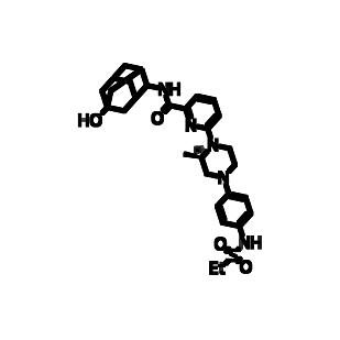 CCS(=O)(=O)Nc1ccc(N2CCN(c3cccc(C(=O)NC4C5CC6CC4CC(O)(C6)C5)n3)[C@H](C)C2)cc1